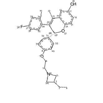 CCC1CN(CCOc2ccc([C@H]3Oc4ccc(O)cc4C(C)=C3c3ccc(F)cc3C)cc2)C1